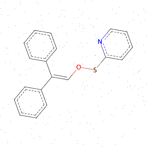 C(OSc1ccccn1)=C(c1ccccc1)c1ccccc1